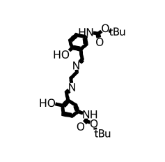 CC(C)(C)OC(=O)Nc1ccc(O)c(/C=N/CC/N=C/c2cc(NC(=O)OC(C)(C)C)ccc2O)c1